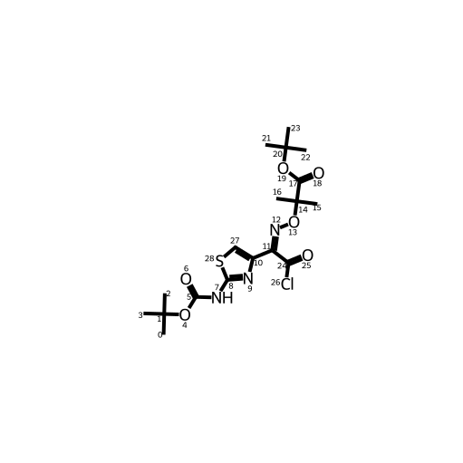 CC(C)(C)OC(=O)Nc1nc(/C(=N/OC(C)(C)C(=O)OC(C)(C)C)C(=O)Cl)cs1